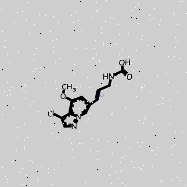 COc1cc(/C=C/CNC(=O)O)cn2ncc(Cl)c12